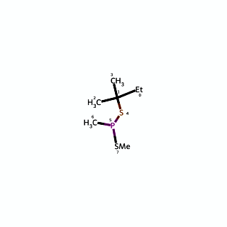 CCC(C)(C)SP(C)SC